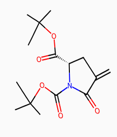 C=C1C[C@@H](C(=O)OC(C)(C)C)N(C(=O)OC(C)(C)C)C1=O